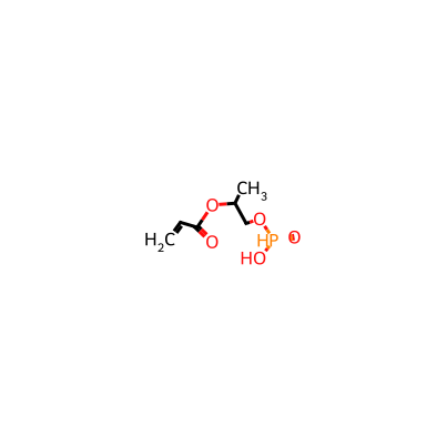 C=CC(=O)OC(C)CO[PH](=O)O